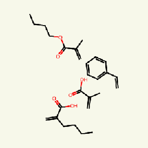 C=C(C)C(=O)O.C=C(C)C(=O)OCCCC.C=C(CCCC)C(=O)O.C=Cc1ccccc1